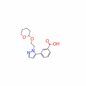 O=C(O)c1cccc(-c2ccnn2CCOC2CCCCO2)c1